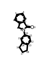 O=C1c2ccccc2CN1c1ccc2c(c1)CCC2